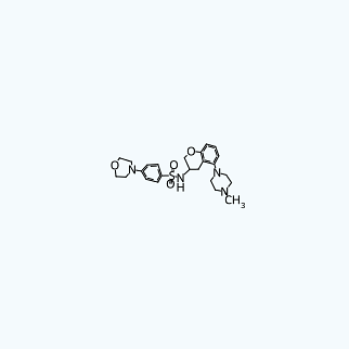 CN1CCN(c2cccc3c2CC(NS(=O)(=O)c2ccc(N4CCOCC4)cc2)CO3)CC1